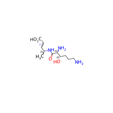 C[C@@H](/C=C/C(=O)O)NC(=O)[C@@H](N)[C@@H](O)CCCN